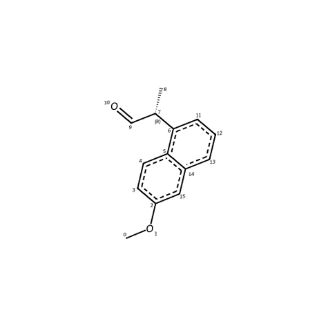 COc1ccc2c([C@@H](C)C=O)cccc2c1